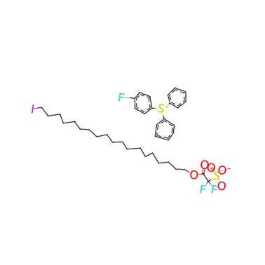 Fc1ccc([S+](c2ccccc2)c2ccccc2)cc1.O=C(OCCCCCCCCCCCCCCCCCCCI)C(F)(F)S(=O)(=O)[O-]